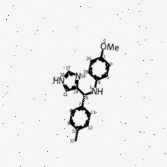 COc1ccc(NC(c2ccc(C)cc2)c2c[nH]cn2)cc1